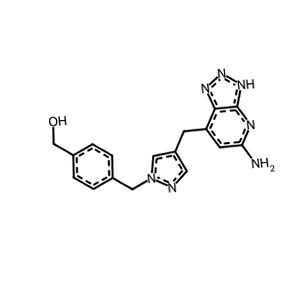 Nc1cc(Cc2cnn(Cc3ccc(CO)cc3)c2)c2nn[nH]c2n1